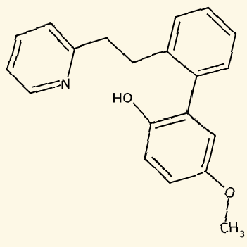 COc1ccc(O)c(-c2ccccc2CCc2ccccn2)c1